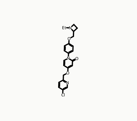 CCN1CCC1COc1ccc(-n2ccc(OCc3ccc(Cl)cn3)cc2=O)cc1